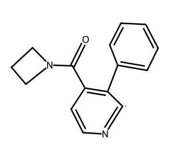 O=C(c1ccn[c]c1-c1ccccc1)N1CCC1